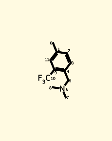 Cc1ccc(CN(C)C)c(C(F)(F)F)c1